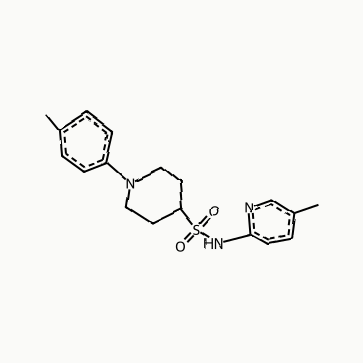 Cc1ccc(N2CCC(S(=O)(=O)Nc3ccc(C)cn3)CC2)cc1